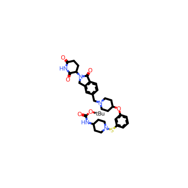 CC(C)(C)OC(=O)NC1CCN(Sc2cccc(OC3CCN(Cc4ccc5c(c4)CN(C4CCC(=O)NC4=O)C5=O)CC3)c2)CC1